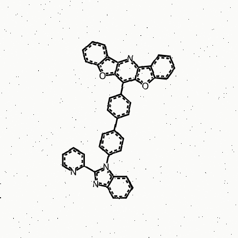 c1ccc(-c2nc3ccccc3n2-c2ccc(-c3ccc(-c4c5oc6ccccc6c5nc5c4oc4ccccc45)cc3)cc2)nc1